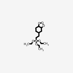 CCO[Si](CCC1CCC2OOOC2C1)(OCC)OCC